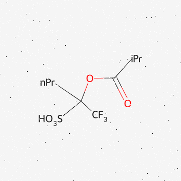 CCCC(OC(=O)C(C)C)(C(F)(F)F)S(=O)(=O)O